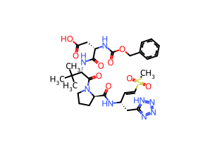 CC(C)(C)[C@H](NC(=O)[C@H](CC(=O)O)NC(=O)OCc1ccccc1)C(=O)N1CCC[C@@H]1C(=O)N[C@H](/C=C/S(C)(=O)=O)Cc1nnn[nH]1